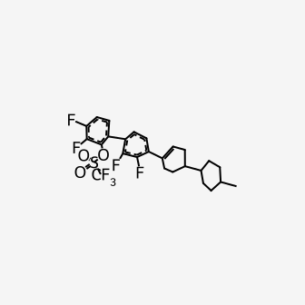 CC1CCC(C2CC=C(c3ccc(-c4ccc(F)c(F)c4OS(=O)(=O)C(F)(F)F)c(F)c3F)CC2)CC1